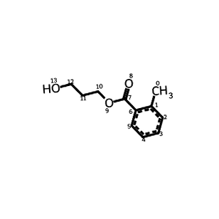 Cc1ccccc1C(=O)OCCCO